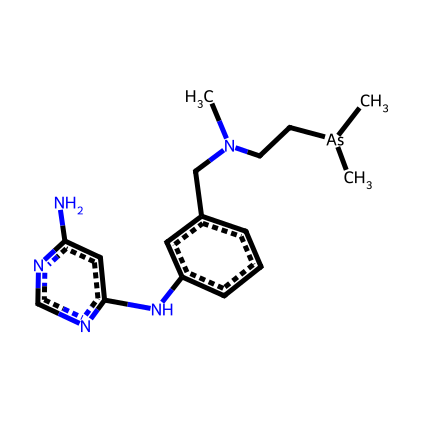 CN(CC[As](C)C)Cc1cccc(Nc2cc(N)ncn2)c1